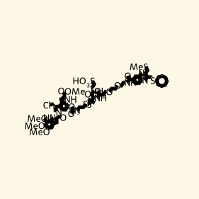 COC(=O)c1cc2c3c(cc(OC(=O)N(C)CCSSC(C)(C)C(NC(=O)CCOCCOCCNC(=O)c4ccc5nc(CSC6CCCCCCC6)c(CSC)nc5c4)C(=O)NCCS(=O)(=O)O)c2[nH]1)N(C(=O)c1cc2cc(OC)c(OC)c(OC)c2[nH]1)C[C@H]3CCl